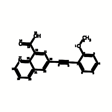 COc1ccccc1C#Cc1cc(C(=O)O)c2ncccc2c1